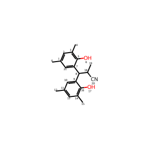 Cc1cc(C)c(O)c(C(c2cc(C)cc(C)c2O)C(C)C#N)c1